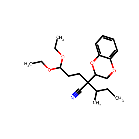 CCOC(CCC(C#N)(C(C)CC)C1COc2ccccc2O1)OCC